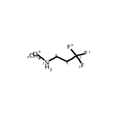 C.FC(F)(F)CC[SiH2]Cl